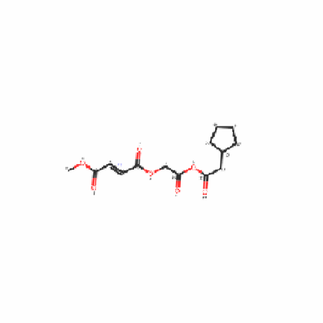 COC(=O)/C=C/C(=O)OCC(=O)OC(=O)CC1CCCC1